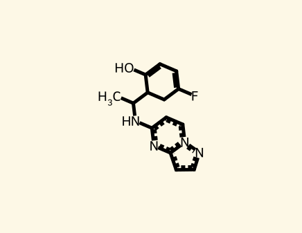 CC(Nc1ccn2nccc2n1)C1CC(F)=CC=C1O